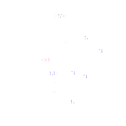 COCCOc1ncnc(Cn2nc(C(=O)NCC3(O)CC3)c3ncc(C)cc32)c1C